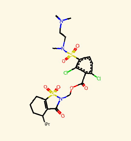 CC(C)C1CCCC2=C1C(=O)N(COC(=O)c1c(Cl)ccc(S(=O)(=O)N(C)CCN(C)C)c1Cl)S2(=O)=O